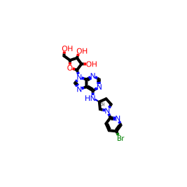 OCC1OC(n2cnc3c(N[C@H]4CCN(c5ccc(Br)cn5)C4)ncnc32)C(O)C1O